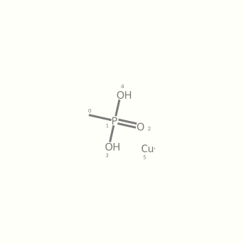 CP(=O)(O)O.[Cu]